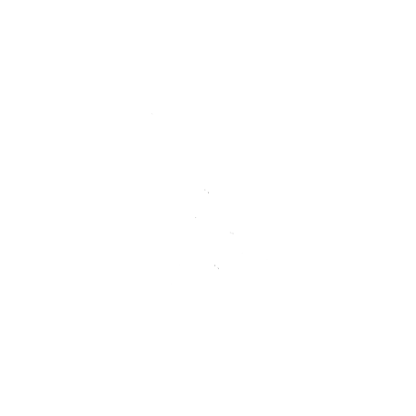 O=C(Nc1ccc(Cl)cc1)c1c(-c2ccccc2Cl)nc2ccccn12